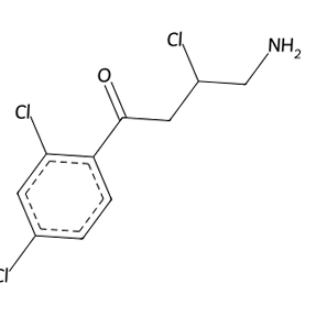 NCC(Cl)CC(=O)c1ccc(Cl)cc1Cl